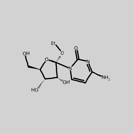 CCO[C@@]1(n2ccc(N)nc2=O)O[C@H](CO)[C@@H](O)[C@H]1O